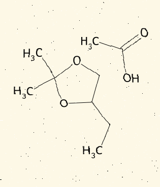 CC(=O)O.CCC1COC(C)(C)O1